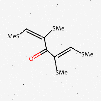 CSC=C(SC)C(=O)C(=CSC)SC